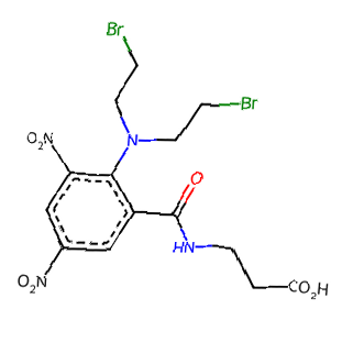 O=C(O)CCNC(=O)c1cc([N+](=O)[O-])cc([N+](=O)[O-])c1N(CCBr)CCBr